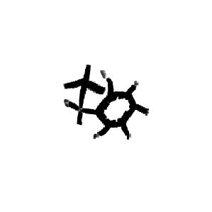 CC(C)(C)[Si](C)(Cl)c1c(F)c(F)c(F)c(F)c1F